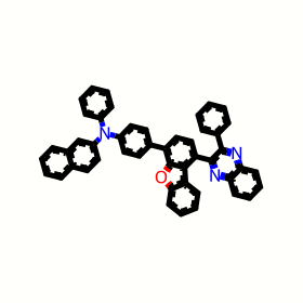 c1ccc(-c2nc3ccccc3nc2-c2ccc(-c3ccc(N(c4ccccc4)c4ccc5ccccc5c4)cc3)c3oc4ccccc4c23)cc1